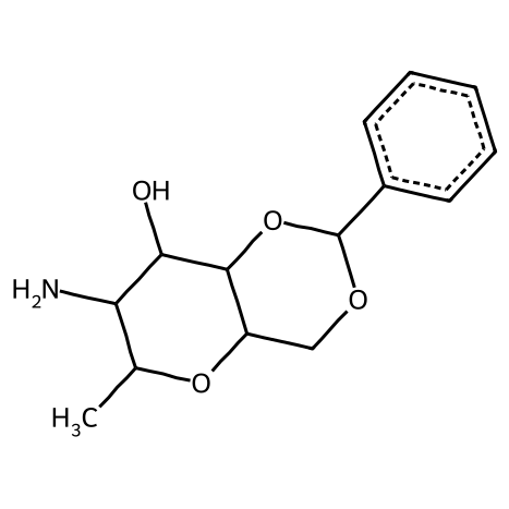 CC1OC2COC(c3ccccc3)OC2C(O)C1N